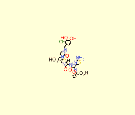 Nc1nc(/C(=N/OC2(C(=O)O)CCC2)C(=O)NC2C(=O)N3C[C@@](C(=O)O)(N4CCN(/N=C/c5ccc(O)c(O)c5Cl)C4=O)S[C@H]23)cs1